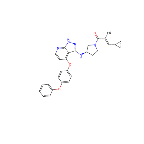 N#CC(=CC1CC1)C(=O)N1CC[C@@H](Nc2n[nH]c3nccc(Oc4ccc(Oc5ccccc5)cc4)c23)C1